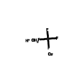 F[B-](F)(F)F.O.[Cu].[H+]